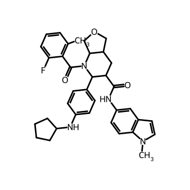 Cc1cccc(F)c1C(=O)N1C2COCC2CC(C(=O)Nc2ccc3c(ccn3C)c2)C1c1ccc(NC2CCCC2)cc1